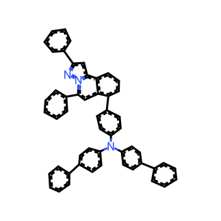 c1ccc(-c2ccc(N(c3ccc(-c4ccccc4)cc3)c3ccc(-c4cccc5c4cc(-c4ccccc4)n4nc(-c6ccccc6)cc54)cc3)cc2)cc1